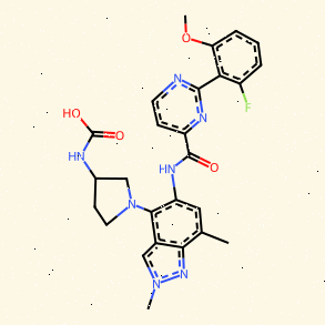 COc1cccc(F)c1-c1nccc(C(=O)Nc2cc(C)c3nn(C)cc3c2N2CCC(NC(=O)O)C2)n1